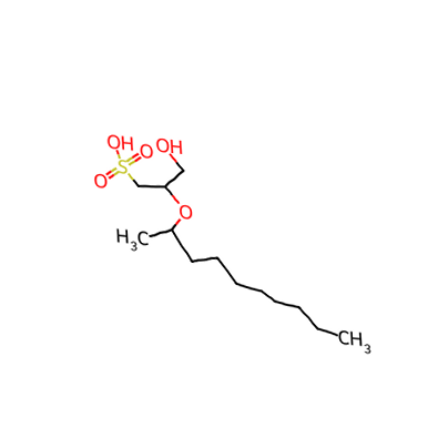 CCCCCCCCC(C)OC(CO)CS(=O)(=O)O